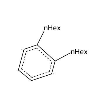 CCCCCCc1[c]cc[c]c1CCCCCC